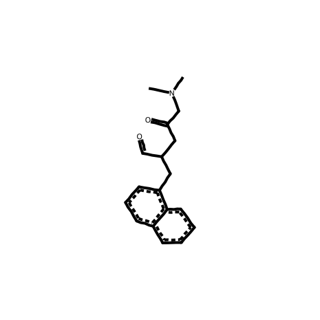 CN(C)CC(=O)CC(C=O)Cc1cccc2ccccc12